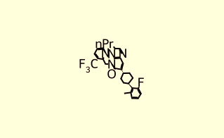 CCCc1cnc2cc([C@H]3CC[C@H](c4c(C)cccc4F)CC3)c(=O)n(Cc3ncccc3C(F)(F)F)c2n1